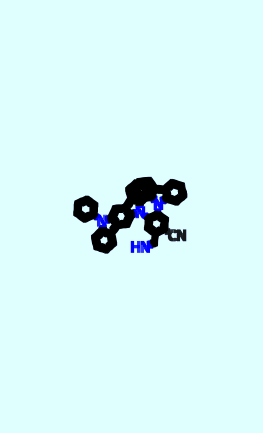 N#Cc1cc(-n2c3ccccc3c3ccccc32)c(-n2c3ccccc3c3cc4c(cc32)c2ccccc2n4-c2ccccc2)cc1C=N